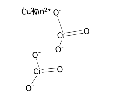 [Cu+2].[Mn+2].[O]=[Cr]([O-])[O-].[O]=[Cr]([O-])[O-]